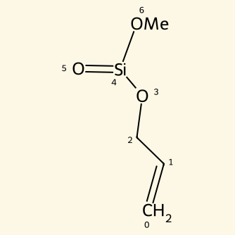 C=CCO[Si](=O)OC